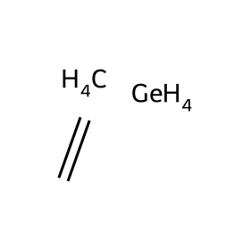 C.C=C.[GeH4]